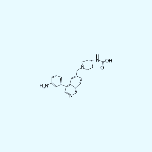 Nc1cccc(-c2cncc3ccc(CN4CCC(NC(=O)O)CC4)cc23)c1